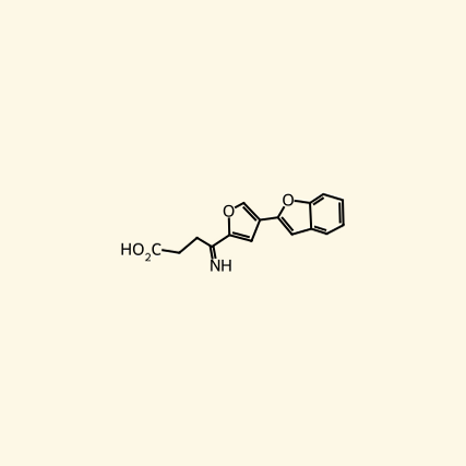 N=C(CCC(=O)O)c1cc(-c2cc3ccccc3o2)co1